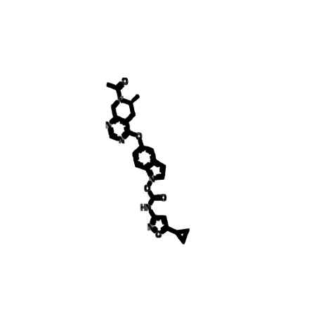 CC(=O)N1Cc2ncnc(Oc3ccc4c(ccn4OC(=O)Nc4cc(C5CC5)on4)c3)c2C[C@@H]1C